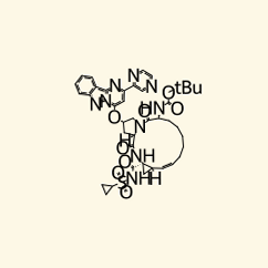 CC(C)(C)OC(=O)N[C@H]1CCCCC/C=C\[C@@H]2C[C@@]2(C(=O)NS(=O)(=O)C2CC2)NC(=O)[C@@H]2C[C@@H](Oc3cc(-c4cnccn4)nc4c5ccccc5nn34)CN2C1=O